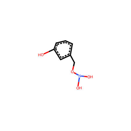 Oc1cccc(CON(O)O)c1